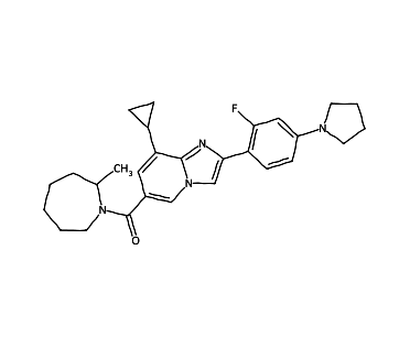 CC1CCCCCN1C(=O)c1cc(C2CC2)c2nc(-c3ccc(N4CCCC4)cc3F)cn2c1